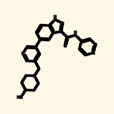 O=C(Nc1ccnnc1)c1n[nH]c2ccc(-c3cncc(CN4CCC(O)CC4)c3)cc12